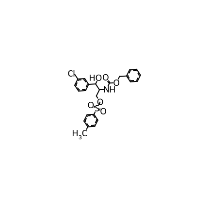 Cc1ccc(S(=O)(=O)OCC(NC(=O)OCc2ccccc2)C(O)c2cccc(Cl)c2)cc1